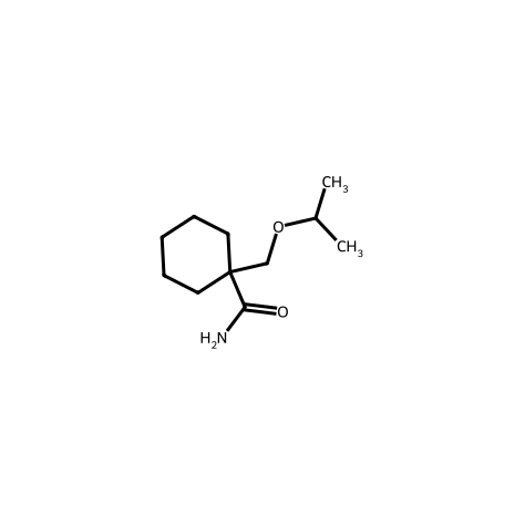 CC(C)OCC1(C(N)=O)CCCCC1